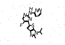 Cc1nc2cc(-c3nc(Nc4cccnn4)ncc3F)sc2n1C(C)C